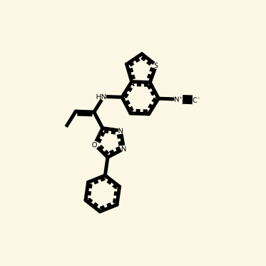 [C-]#[N+]c1ccc(NC(=CC)c2nnc(-c3ccccc3)o2)c2ccsc12